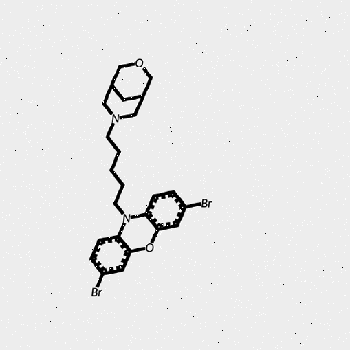 Brc1ccc2c(c1)Oc1cc(Br)ccc1N2CCCCCN1CC2COCC(C2)C1